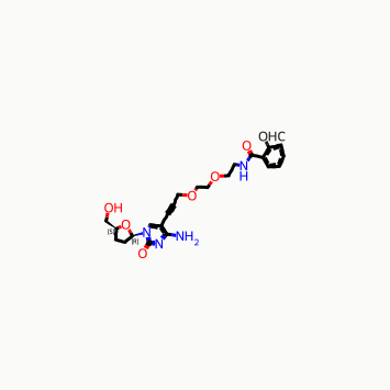 Nc1nc(=O)n([C@H]2CC[C@@H](CO)O2)cc1C#CCOCCOCCNC(=O)c1ccccc1C=O